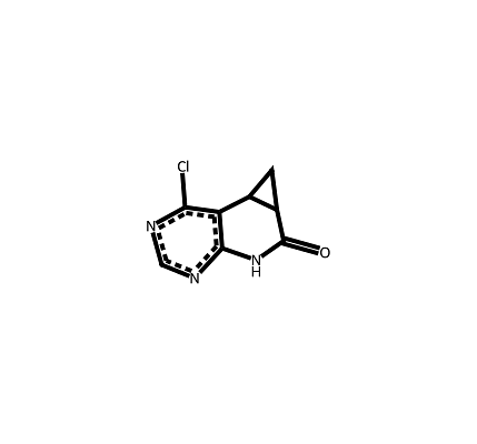 O=C1Nc2ncnc(Cl)c2C2CC12